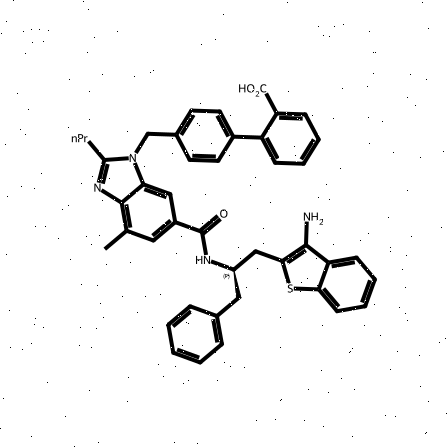 CCCc1nc2c(C)cc(C(=O)N[C@H](Cc3ccccc3)Cc3sc4ccccc4c3N)cc2n1Cc1ccc(-c2ccccc2C(=O)O)cc1